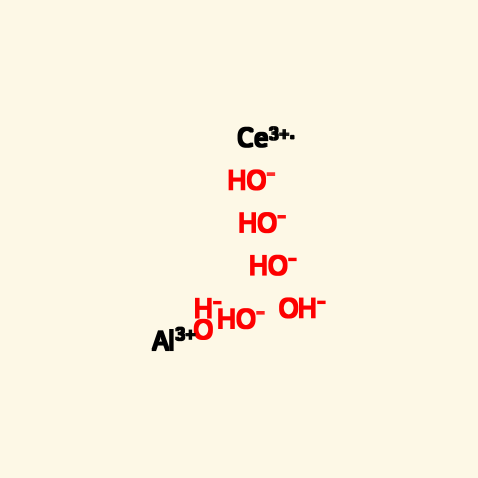 [Al+3].[Ce+3].[OH-].[OH-].[OH-].[OH-].[OH-].[OH-]